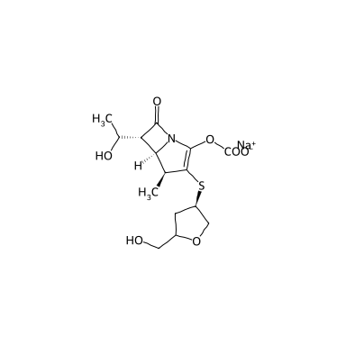 CC(O)[C@@H]1C(=O)N2C(OC(=O)[O-])=C(S[C@H]3COC(CO)C3)[C@@H](C)[C@@H]12.[Na+]